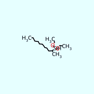 CCCCCCCCCC(C)[SiH](OCC)OCC